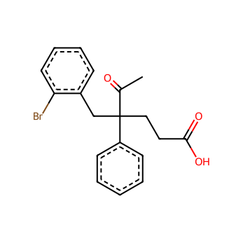 CC(=O)C(CCC(=O)O)(Cc1ccccc1Br)c1ccccc1